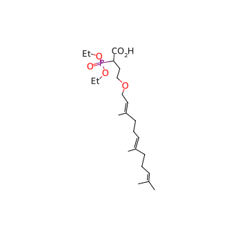 CCOP(=O)(OCC)C(CCOC/C=C(\C)CC/C=C(\C)CCC=C(C)C)C(=O)O